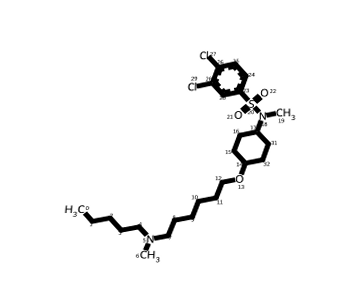 CCCCCN(C)CCCCCCOC1CCC(N(C)S(=O)(=O)c2ccc(Cl)c(Cl)c2)CC1